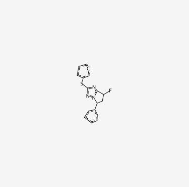 FC1CC(c2ccccc2)n2nc(Sc3ccccc3)nc21